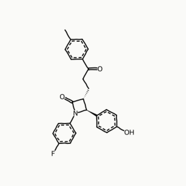 Cc1ccc(C(=O)CC[C@H]2C(=O)N(c3ccc(F)cc3)[C@@H]2c2ccc(O)cc2)cc1